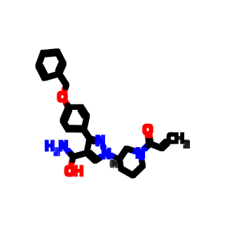 C=CC(=O)N1CCC[C@@H](n2cc(C(N)O)c(-c3ccc(OCc4ccccc4)cc3)n2)C1